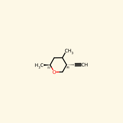 C#C[C@@H]1CO[C@@H](C)CC1C